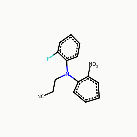 N#CCCN(c1ccccc1F)c1ccccc1[N+](=O)[O-]